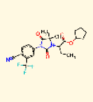 CCC(C(=O)OC1CCCC1)N1C(=O)N(c2ccc(C#N)c(C(F)(F)F)c2)C(=O)C1(C)C